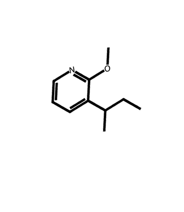 CCC(C)c1cccnc1OC